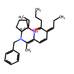 CC/C=C(/C=C\C(NC(C)CC)=C(/C)N(Cc1ccccc1)C1CCCC1)C(=O)CCC